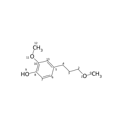 COCCCc1ccc(O)c(OC)c1